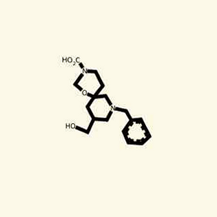 O=C(O)N1CCC2(CC(CO)CN(Cc3ccccc3)C2)OC1